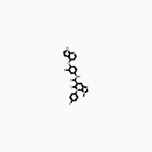 Cn1cnc2cc(C(=O)Nc3ccc(Oc4ccnc5[nH]ccc45)c(F)c3)c(=O)n(-c3ccc(F)cc3)c21